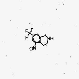 O=Nc1cc(C(F)(F)F)cc2c1CCNC2